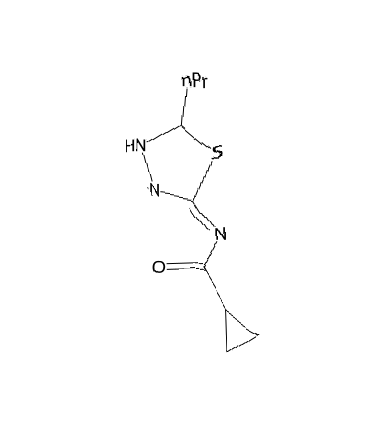 CCCC1N[N]C(=NC(=O)C2CC2)S1